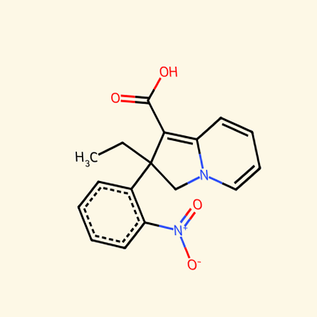 CCC1(c2ccccc2[N+](=O)[O-])CN2C=CC=CC2=C1C(=O)O